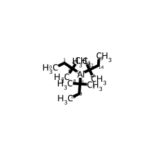 CC[C](C)(C)[Al]([C](C)(C)CC)[C](C)(C)CC